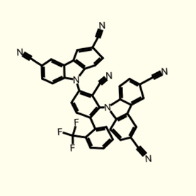 N#Cc1ccc2c(c1)c1cc(C#N)ccc1n2-c1ccc(-c2ccccc2C(F)(F)F)c(-n2c3ccc(C#N)cc3c3cc(C#N)ccc32)c1C#N